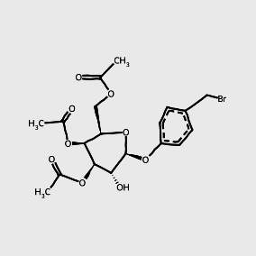 CC(=O)OC[C@H]1O[C@@H](Oc2ccc(CBr)cc2)[C@H](O)[C@@H](OC(C)=O)[C@H]1OC(C)=O